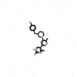 Cc1nnc(-c2c[nH]c(=O)[nH]c2=O)cc1N1CCCC(Cc2ccc(Cl)cc2)C1